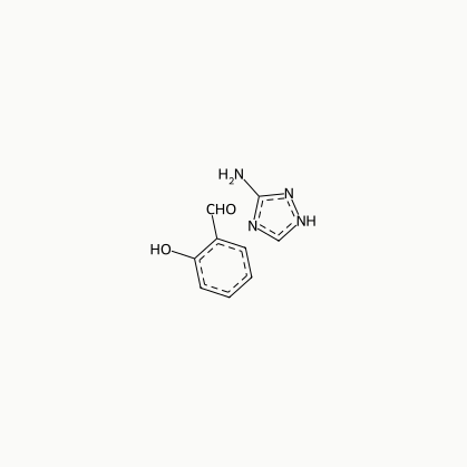 Nc1nc[nH]n1.O=Cc1ccccc1O